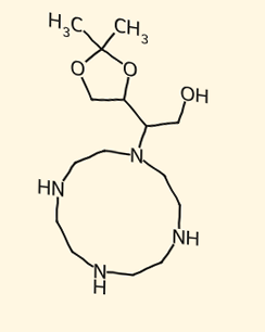 CC1(C)OCC(C(CO)N2CCNCCNCCNCC2)O1